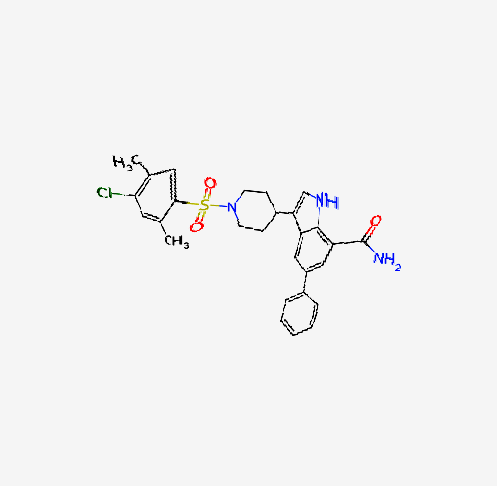 Cc1cc(S(=O)(=O)N2CCC(c3c[nH]c4c(C(N)=O)cc(-c5ccccc5)cc34)CC2)c(C)cc1Cl